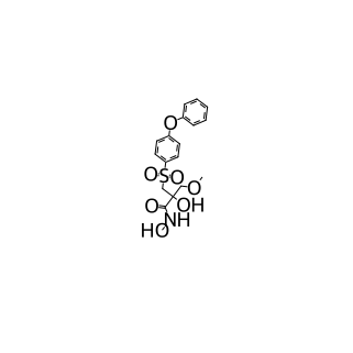 COCC(O)(CS(=O)(=O)c1ccc(Oc2ccccc2)cc1)C(=O)NO